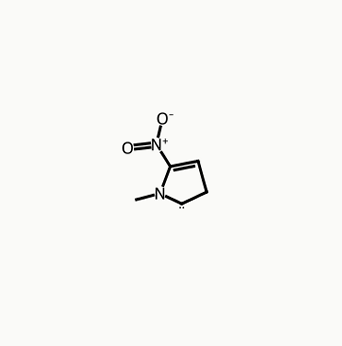 CN1[C]CC=C1[N+](=O)[O-]